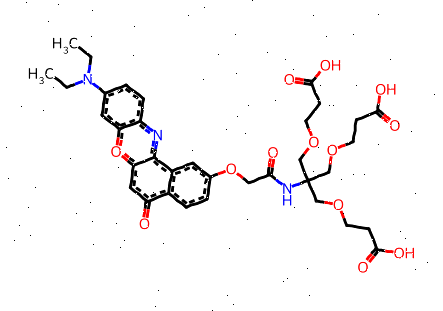 CCN(CC)c1ccc2nc3c4cc(OCC(=O)NC(COCCC(=O)O)(COCCC(=O)O)COCCC(=O)O)ccc4c(=O)cc-3oc2c1